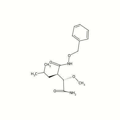 CO[C@H](C(N)=O)[C@@H](CC(C)C)C(=O)NOCc1ccccc1